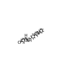 N=C(/C=C/c1ccc(N2CCN(c3ccccc3)CC2)cc1)Nc1ccc(Cl)cc1